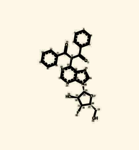 O=C(c1ccccc1)N(C(=O)c1ccccc1)c1ncnc2c1ncn2[C@@H]1O[C@H](CO)[C@@H](F)[C@H]1O